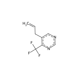 C=CCc1cncnc1C(F)(F)F